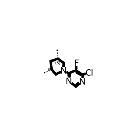 C[C@@H]1C[C@H](C)CN(c2ncnc(Cl)c2F)C1